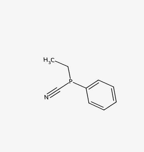 CCP(C#N)c1ccccc1